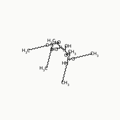 CCCCCCCCCCCCCNCCN(CCOCCCCCCCCCCCCC)CCN(CC)C(=O)CCN(CCO)CCN(CCO)CCC(=O)N(CC)CCN(CCOCCCCCCCCCCCCC)CCOCCCCCCCCCCCCC